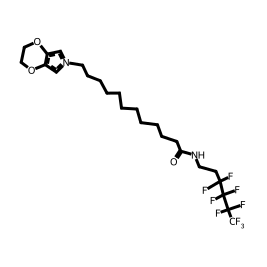 O=C(CCCCCCCCCCCn1cc2c(c1)OCCO2)NCCC(F)(F)C(F)(F)C(F)(F)C(F)(F)F